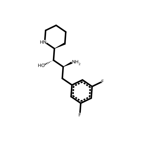 N[C@@H](Cc1cc(F)cc(F)c1)[C@H](O)[C@@H]1CCCCN1